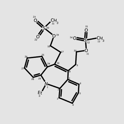 CCN1c2ccccc2C(CCOS(C)(=O)=O)=C(CCOS(C)(=O)=O)c2ccccc21